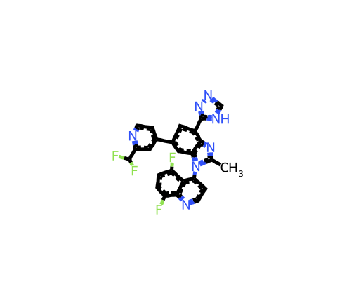 Cc1nc2c(-c3nnc[nH]3)cc(-c3ccnc(C(F)F)c3)cc2n1-c1ccnc2c(F)ccc(F)c12